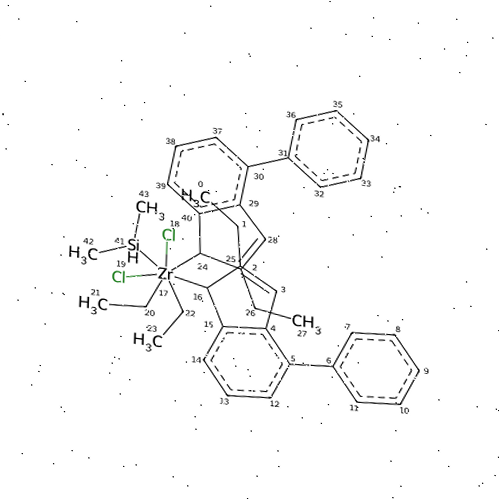 CCC1=Cc2c(-c3ccccc3)cccc2[CH]1[Zr]([Cl])([Cl])([CH2]C)([CH2]C)([CH]1C(CC)=Cc2c(-c3ccccc3)cccc21)[SiH](C)C